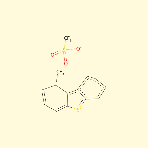 FC(F)(F)C1C=CC=C2[S+]=c3ccccc3=C21.O=S(=O)([O-])C(F)(F)F